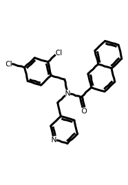 O=C(c1ccc2ccccc2c1)N(Cc1cccnc1)Cc1ccc(Cl)cc1Cl